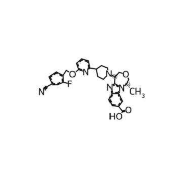 C[C@H]1COC[C@H](N2CCC(c3cccc(OCc4ccc(C#N)cc4F)n3)CC2)c2nc3ccc(C(=O)O)cc3n21